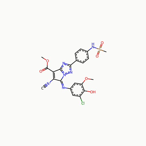 [C-]#[N+]C1=C(C(=O)OC)c2nc(-c3ccc(NS(C)(=O)=O)cc3)nn2C1=Nc1cc(Cl)c(O)c(OC)c1